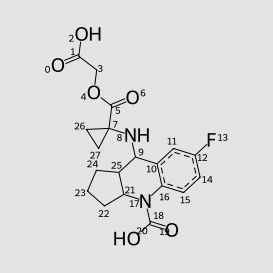 O=C(O)COC(=O)C1(NC2c3cc(F)ccc3N(C(=O)O)C3CCCC23)CC1